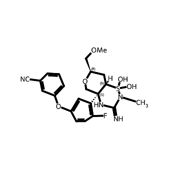 COC[C@H]1C[C@@H]2[C@](c3cc(Oc4cccc(C#N)c4)ccc3F)(CO1)NC(=N)N(C)S2(O)O